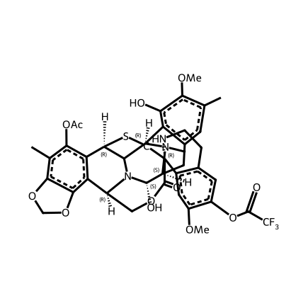 COc1cc2c(cc1OC(=O)C(F)(F)F)CCN[C@]21CS[C@@H]2c3c(OC(C)=O)c(C)c4c(c3[C@H](COC1=O)N1C2[C@H]2c3c(cc(C)c(OC)c3O)C[C@@H]([C@@H]1O)N2C)OCO4